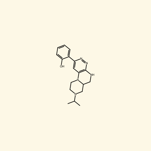 CC(C)N1CCN2c3cc(-c4ccccc4O)nnc3NCC2C1